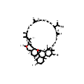 CC1CCCC(=O)NCCCCC(C(=O)O)NC(=O)CCCC[C@H]2[C@@H]3C(C[C@@H]4C[C@H](O)CCC4(C)C3CC(O)C2(C)C)OC23CC[C@@H](O)C[C@H]2CC(O)[C@H]2CC1(C)C(O)CC23